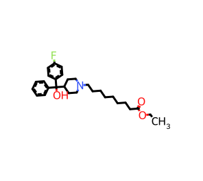 CCOC(=O)CCCCCCCCN1CCC(C(O)(c2ccccc2)c2ccc(F)cc2)CC1